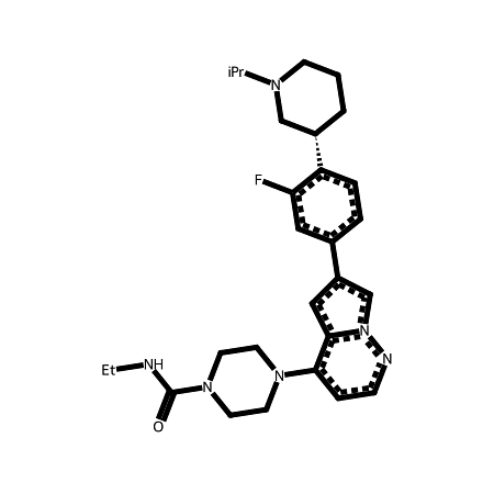 CCNC(=O)N1CCN(c2ccnn3cc(-c4ccc([C@H]5CCCN(C(C)C)C5)c(F)c4)cc23)CC1